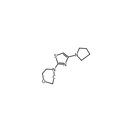 c1sc(N2CCOCC2)nc1N1CCCC1